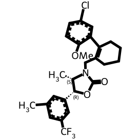 COc1ccc(Cl)cc1C1=C(CN2C(=O)O[C@H](c3cc(C)cc(C(F)(F)F)c3)[C@@H]2C)CCCC1